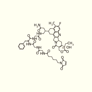 CC[C@@]1(O)C(=O)OCC2=C1CC1c3nc4cc(F)c(C)c5c4c(c3CN1C2=O)CC(C(CNC(=O)CNC(=O)[C@H](Cc1ccccc1)NC(=O)CNC(=O)CNC(=O)CCCCCN1C(=O)C=CC1=O)CC(N)=O)C5